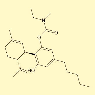 C=C(C)[C@@H]1CCC(C)=C[C@H]1c1c(O)cc(CCCCC)cc1OC(=O)N(C)CC